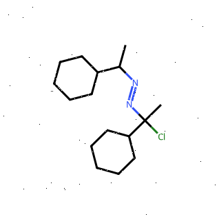 CC(N=NC(C)(Cl)C1CCCCC1)C1CCCCC1